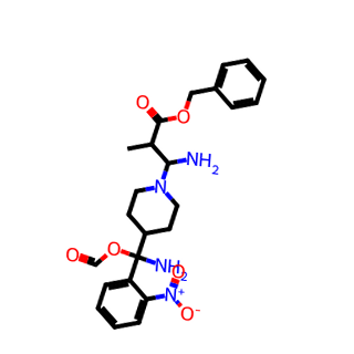 CC(C(=O)OCc1ccccc1)C(N)N1CCC(C(N)(OC=O)c2ccccc2[N+](=O)[O-])CC1